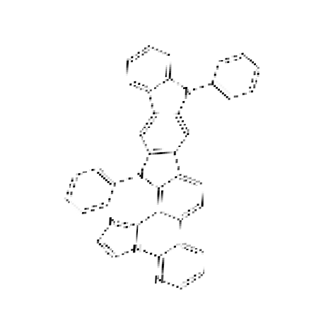 c1ccc(-n2c3ccccc3c3cc4c(cc32)c2ccc3c5cccnc5n5ccnc5c3c2n4-c2ccccc2)cc1